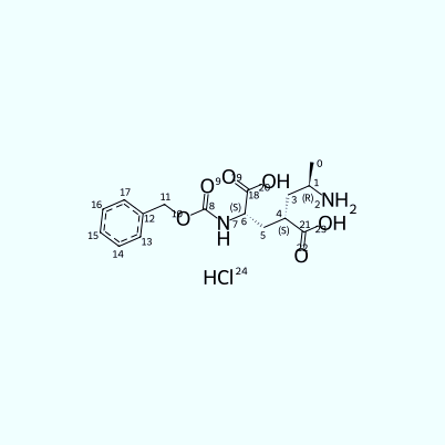 C[C@@H](N)C[C@@H](C[C@H](NC(=O)OCc1ccccc1)C(=O)O)C(=O)O.Cl